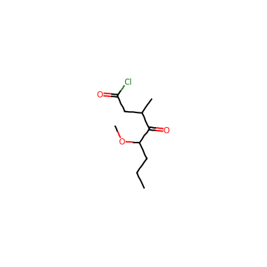 CCCC(OC)C(=O)C(C)CC(=O)Cl